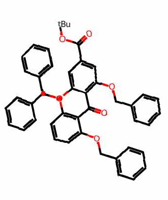 CC(C)(C)OC(=O)c1cc(OCc2ccccc2)c(C(=O)c2c(OCc3ccccc3)cccc2OCc2ccccc2)c(OCc2ccccc2)c1